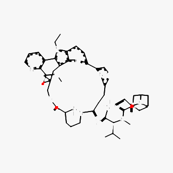 C=CC(=O)N1C2CC1CN(C(=O)N(C)[C@H](C(=O)N[C@H]1Cc3nc(cs3)-c3ccc4c(c3)c(c(-c3cccnc3[C@H](C)OC)n4CC)CC(C)(C)COC(=O)[C@@H]3CCCN(N3)C1=O)C(C)C)C2